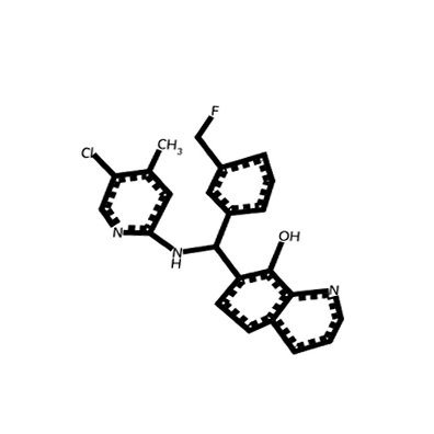 Cc1cc(NC(c2cccc(CF)c2)c2ccc3cccnc3c2O)ncc1Cl